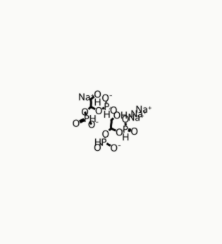 O=[PH]([O-])OC(CO)O[PH](=O)[O-].O=[PH]([O-])OC(CO)O[PH](=O)[O-].[Na+].[Na+].[Na+].[Na+]